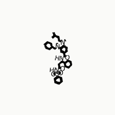 CC(C)CCN(C)c1ccc(C(=O)NC(CC(=O)NS(=O)(=O)c2ccccc2)C2CCCCC2)cc1N(C)CC1CCCCC1